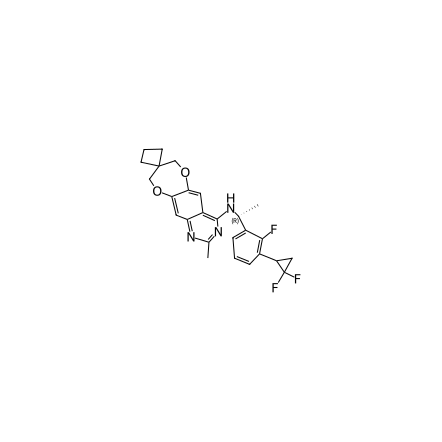 Cc1nc(N[C@H](C)c2cccc(C3CC3(F)F)c2F)c2cc3c(cc2n1)OCC1(CCC1)CO3